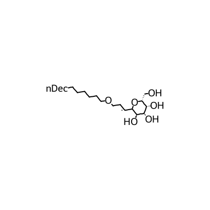 CCCCCCCCCCCCCCCCOCC[CH]C1O[C@H](CO)[C@H](O)[C@H](O)[C@H]1O